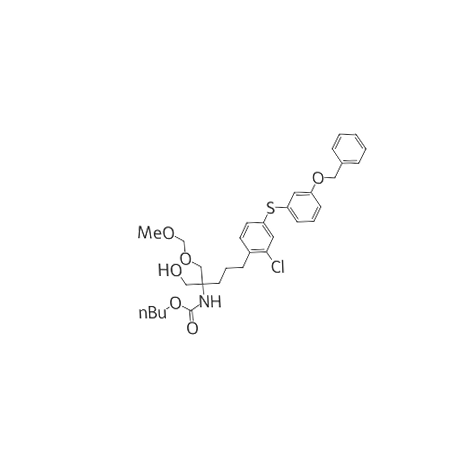 CCCCOC(=O)NC(CO)(CCCc1ccc(Sc2cccc(OCc3ccccc3)c2)cc1Cl)COCOC